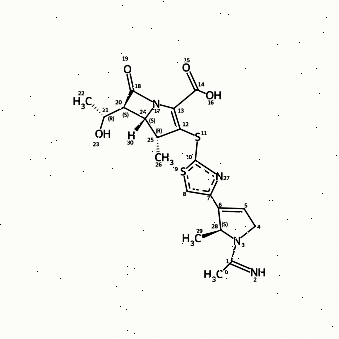 CC(=N)N1CC=C(c2csc(SC3=C(C(=O)O)N4C(=O)[C@H]([C@@H](C)O)[C@H]4[C@H]3C)n2)[C@@H]1C